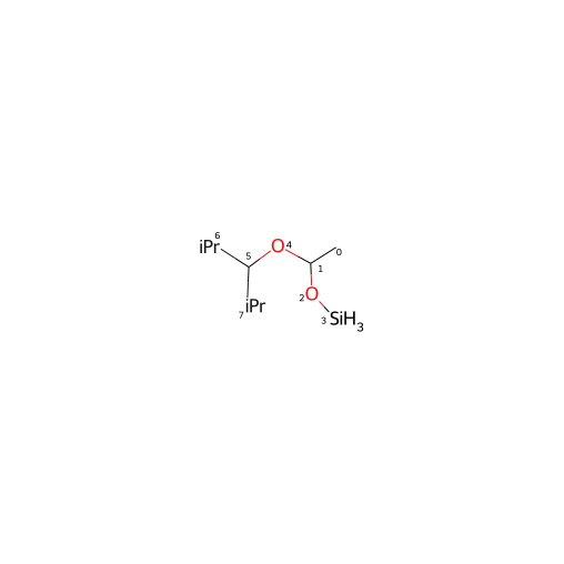 CC(O[SiH3])OC(C(C)C)C(C)C